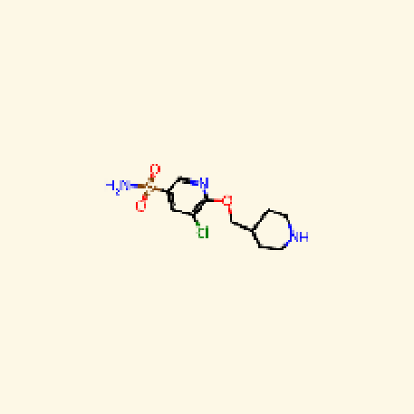 NS(=O)(=O)c1cnc(OCC2CCNCC2)c(Cl)c1